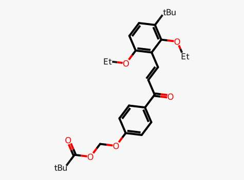 CCOc1ccc(C(C)(C)C)c(OCC)c1/C=C/C(=O)c1ccc(OCOC(=O)C(C)(C)C)cc1